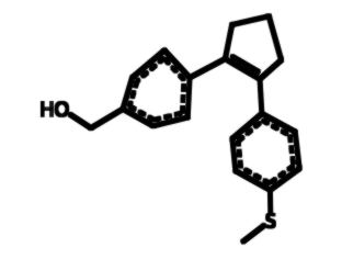 CSc1ccc(C2=C(c3ccc(CO)cc3)CCC2)cc1